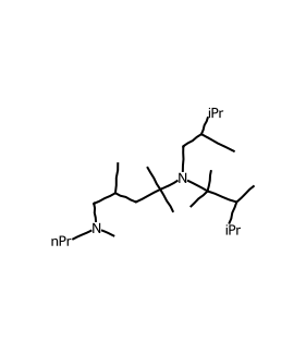 CCCN(C)CC(C)CC(C)(C)N(CC(C)C(C)C)C(C)(C)C(C)C(C)C